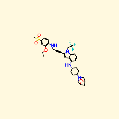 CCOc1cc(S(C)(=O)=O)ccc1NCC#Cc1cc2c(N[C@H]3CC[C@H](N4CC5CC(C4)O5)CC3)cccc2n1CC(F)(F)F